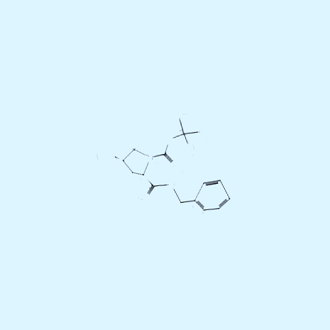 C[C@@H]1C[C@H](C(=O)OCc2ccccc2)N(C(=O)OC(C)(C)C)C1